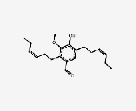 CC/C=C\CCc1cc(C=O)c(CC/C=C\CC)c(OC)c1O